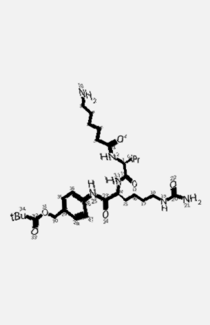 CC(C)[C@H](NC(=O)CCCCCN)C(=O)N[C@@H](CCCCNC(N)=O)C(=O)Nc1ccc(COC(=O)C(C)(C)C)cc1